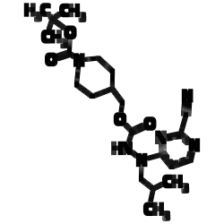 CC(C)CN(NC(=O)OCC1CCN(C(=O)OC(C)(C)C)CC1)c1ccnc(C#N)n1